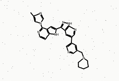 Cc1cn(-c2nccc3[nH]c(-c4n[nH]c5ncc(-c6cncc(CN7CCCCC7)c6)cc45)cc23)cn1